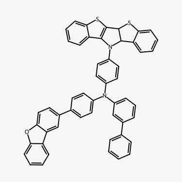 c1ccc(-c2cccc(N(c3ccc(-c4ccc5oc6ccccc6c5c4)cc3)c3ccc(N4c5c(sc6ccccc56)C5Sc6ccccc6C54)cc3)c2)cc1